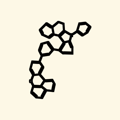 c1ccc(-n2c3c(c4c(-c5cccc(-c6ccc7c(c6)-c6cccc8cccc(c68)O7)c5)cccc42)-c2ccccc2CC3)cc1